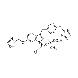 CC(C)(Cc1c(Cc2ccc(Cn3ncnn3)cc2)c2ccc(OCc3cscn3)cc2n1CC1CC1)C(=O)O